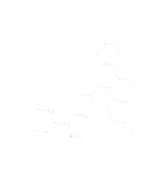 CC(=O)N(c1ccc(CC2c3ccc(O)cc3CCN2c2ccc(F)cc2)cc1)C1CCCCN1